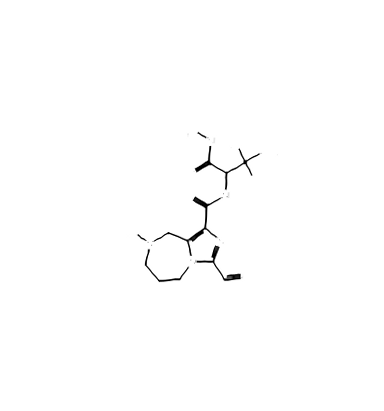 C=Cc1nc(C(=O)NC(C(=O)NC)C(C)(C)C)c2n1CCCN(C)C2